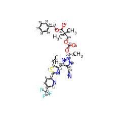 CCc1sc(-c2ccc(C(F)(F)F)cn2)nc1-c1nn(C(C)OC(=O)OCC(C)(C)C(=O)OCc2ccccc2)nc1C#N